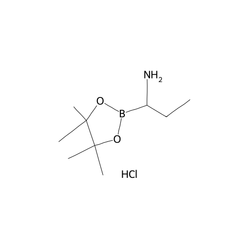 CCC(N)B1OC(C)(C)C(C)(C)O1.Cl